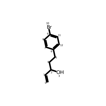 C=CC(O)CCc1ccc(Br)cc1